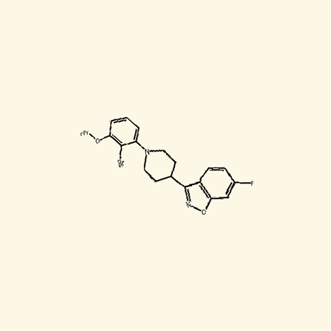 CCCOc1[c]ccc(N2CCC(c3noc4cc(F)ccc34)CC2)c1Br